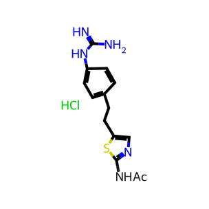 CC(=O)Nc1ncc(CCc2ccc(NC(=N)N)cc2)s1.Cl